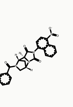 O=C1[C@@H]2[C@@H]3C[C@@H](CN3C(=O)c3ccccc3)N2C(=O)N1c1ccc([N+](=O)[O-])c2ccccc12